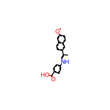 COc1ccc2cc(/C(C)=C/Nc3ccc(C(=O)O)cc3)ccc2c1